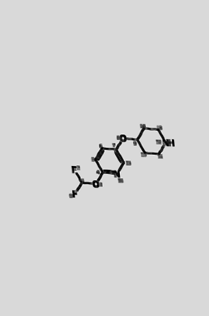 FC(F)Oc1ccc(OC2CCNCC2)cn1